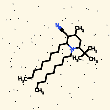 CCCCCCCCCC1C(C#N)C(C)CC(C(C)(C)C)N1CCCCCCCCC